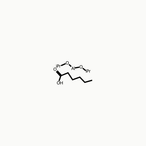 CC(C)[O][Al][O]C(C)C.CCCCCC(=O)O